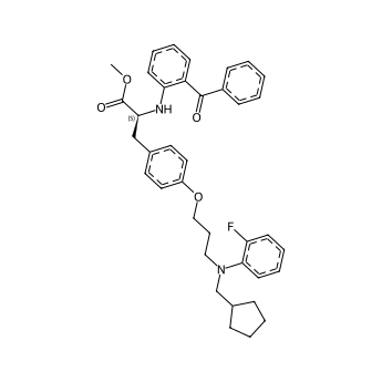 COC(=O)[C@H](Cc1ccc(OCCCN(CC2CCCC2)c2ccccc2F)cc1)Nc1ccccc1C(=O)c1ccccc1